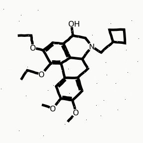 CCOc1cc2c3c(c1OCC)-c1cc(OC)c(OC)cc1CC3N(CC1CCC1)CC2O